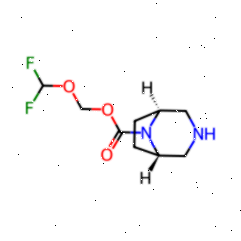 O=C(OCOC(F)F)N1[C@H]2CC[C@H]1CNC2